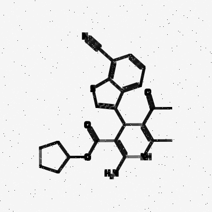 CC(=O)C1=C(C)NC(N)=C(C(=O)OC2CCCC2)C1c1csc2c(C#N)cccc12